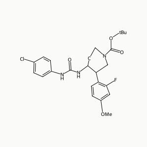 COc1ccc(C2CN(C(=O)OC(C)(C)C)CCC2NC(=O)Nc2ccc(Cl)cc2)c(F)c1